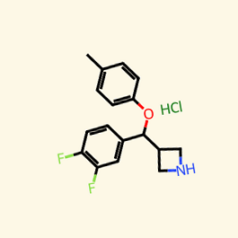 Cc1ccc(OC(c2ccc(F)c(F)c2)C2CNC2)cc1.Cl